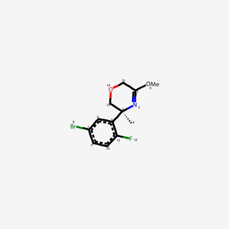 COC1=N[C@@](C)(c2cc(Br)ccc2F)COC1